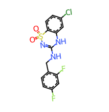 O=S1(=O)N=C(NCc2ccc(F)cc2F)Nc2cc(Cl)ccc21